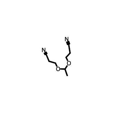 CC(OCCC#N)OCCC#N